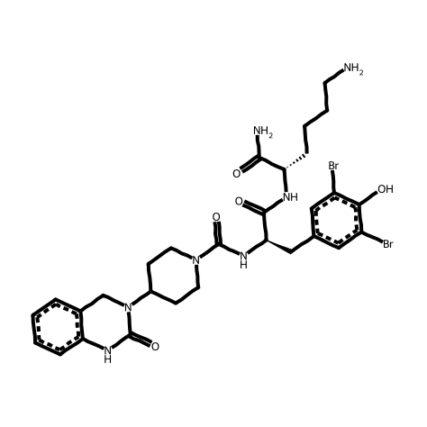 NCCCC[C@H](NC(=O)[C@@H](Cc1cc(Br)c(O)c(Br)c1)NC(=O)N1CCC(N2Cc3ccccc3NC2=O)CC1)C(N)=O